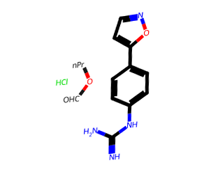 CCCOC=O.Cl.N=C(N)Nc1ccc(-c2ccno2)cc1